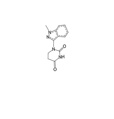 Cn1nc(N2CCC(=O)NC2=O)c2ccccc21